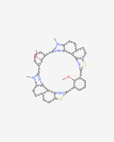 COc1c2cccc1c1nc3c(ccc4ccc5c(nc(c6cccc(c6OC)c6nc7c8c(ccc9sc2nc98)ccc7n6C)n5C)c43)s1